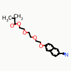 C=C(C)C(=O)OCCOCCOCCOc1ccc2cc(C#N)ccc2c1